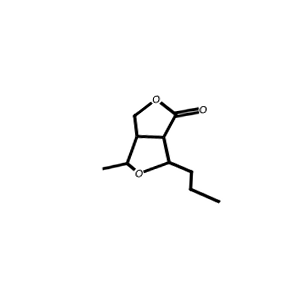 CCCC1OC(C)C2COC(=O)C12